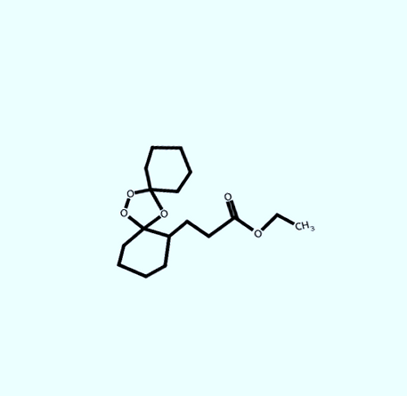 CCOC(=O)CCC1CCCCC12OOC1(CCCCC1)O2